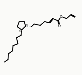 C=CCOC(=O)C=CCCCC[C@H]1CCC[C@@H]1CCCCCCCC